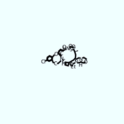 CCO[C@]1(CN2CCN3CCOC[C@@H]3C2)CCC[C@H](C)[C@@H](C)S(=O)(=O)NC(=O)c2ccc3c(c2)N(CCCCc2cc(Cl)ccc2CO3)C[C@@H]2CC[C@H]21